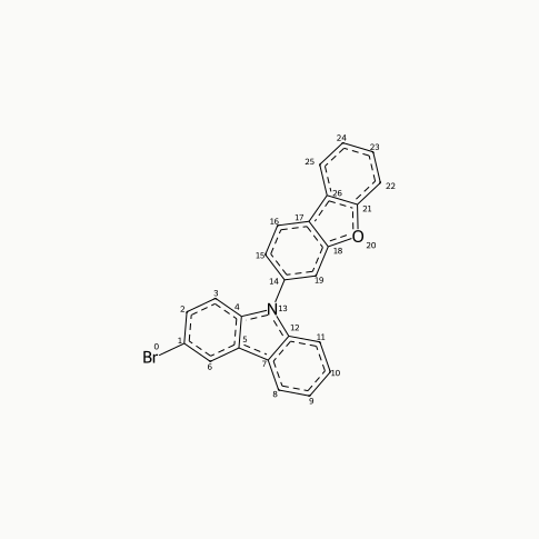 Brc1ccc2c(c1)c1ccccc1n2-c1ccc2c(c1)oc1ccccc12